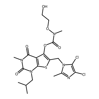 Cc1nc(Cl)c(Cl)n1Cc1sc2c(c1OC(=O)N(C)OCCO)c(=O)n(C)c(=O)n2CC(C)C